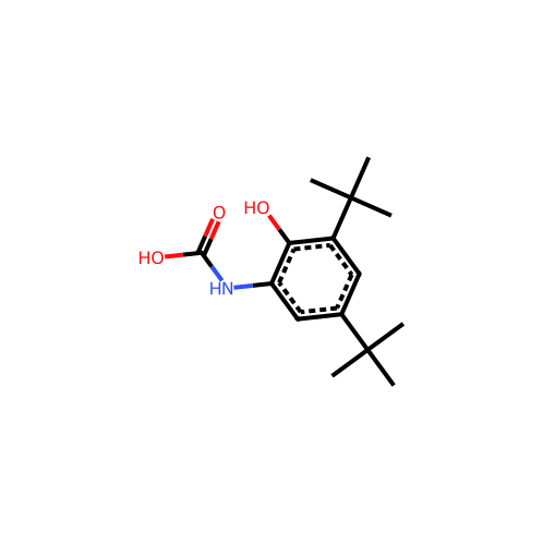 CC(C)(C)c1cc(NC(=O)O)c(O)c(C(C)(C)C)c1